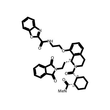 CNC(=O)[C@H]1CCCC[C@H]1C(=O)N1CCc2cccc(OCCNC(=O)c3nc4ccccc4o3)c2[C@H]1CCN1C(=O)c2ccccc2C1=O